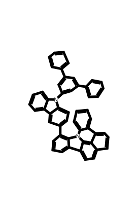 c1ccc(-c2cc(-c3ccccc3)cc(-n3c4ccccc4c4cc(-c5cccc6c7ccc8cccc9c%10ccccc%10n(c56)c7c89)ccc43)c2)cc1